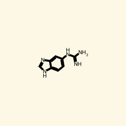 N=C(N)Nc1ccc2[nH][c]nc2c1